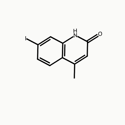 Cc1cc(=O)[nH]c2cc(I)ccc12